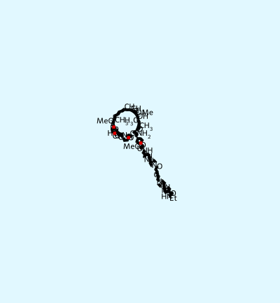 CCNC(=O)c1cnc(N2CCN(CCOCCC(=O)N3CCN(c4ncc(CNC(=O)O[C@@H]5CC[C@@H](C[C@@H](N)[C@@H]6CC(=O)[C@H](C)/C=C(\C)[C@@H](O)[C@@H](OC)C(=O)[C@H](C)C[C@H](C)/C=C/C=C/C=C(\C)[C@@H](OC)C[C@@H]7CC[C@@H](C)[C@@](O)(O7)C(=O)C(=O)N7CCCC[C@H]7C(=O)O6)C[C@H]5OC)cn4)CC3)CC2)nc1